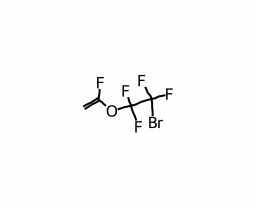 C=C(F)OC(F)(F)C(F)(F)Br